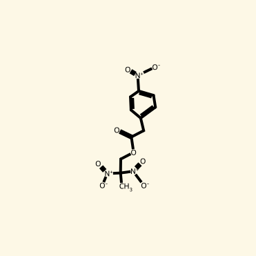 CC(COC(=O)Cc1ccc([N+](=O)[O-])cc1)([N+](=O)[O-])[N+](=O)[O-]